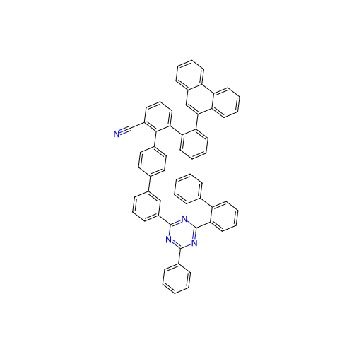 N#Cc1cccc(-c2ccccc2-c2cc3ccccc3c3ccccc23)c1-c1ccc(-c2cccc(-c3nc(-c4ccccc4)nc(-c4ccccc4-c4ccccc4)n3)c2)cc1